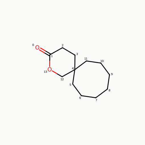 O=C1CCC2(CCCCCCC2)CO1